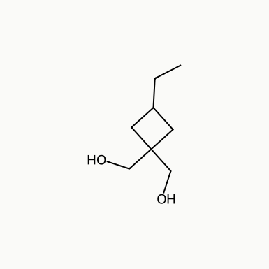 CCC1CC(CO)(CO)C1